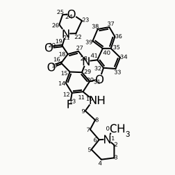 CN1CCCCC1CCCNc1c(F)cc2c(=O)c(C(=O)N3CCOCC3)cn3c2c1Oc1ccc2ccccc2c1-3